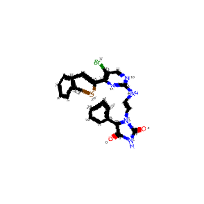 O=C1NC(=O)N(CCNc2ncc(Br)c(-c3cc4ccccc4s3)n2)C1c1ccccc1